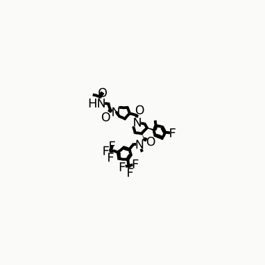 CC(=O)NCC(=O)N1CCC(C(=O)N2CC[C@@H](C(=O)N(C)Cc3cc(C(F)(F)F)cc(C(F)(F)F)c3)[C@H](c3ccc(F)cc3C)C2)CC1